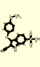 COc1ccc(Sc2c(C#N)[nH]c3cc(S(C)(=O)=O)ccc23)cc1